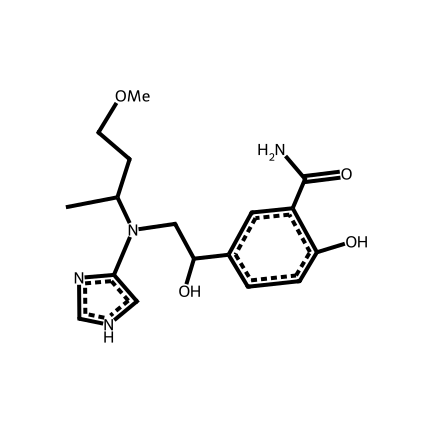 COCCC(C)N(CC(O)c1ccc(O)c(C(N)=O)c1)c1c[nH]cn1